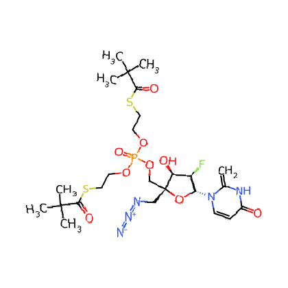 C=C1NC(=O)C=CN1[C@@H]1O[C@](CN=[N+]=[N-])(COP(=O)(OCCSC(=O)C(C)(C)C)OCCSC(=O)C(C)(C)C)[C@@H](O)[C@H]1F